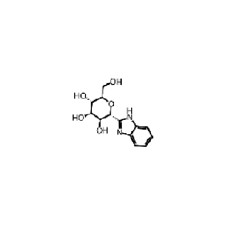 OC[C@H]1O[C@H](c2nc3ccccc3[nH]2)[C@@H](O)[C@@H](O)[C@@H]1O